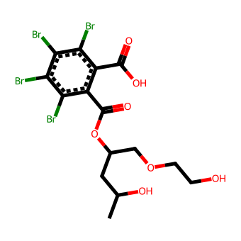 CC(O)CC(COCCO)OC(=O)c1c(Br)c(Br)c(Br)c(Br)c1C(=O)O